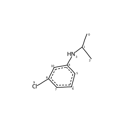 CC(C)Nc1c[c]cc(Cl)c1